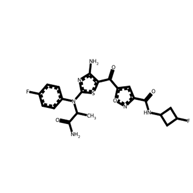 CC(C(N)=O)N(c1ccc(F)cc1)c1nc(N)c(C(=O)c2cc(C(=O)NC3CC(F)C3)no2)s1